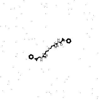 O=C(Nc1nnc(CCSCCc2nnc(NCC3C[C@@H]3c3ccccc3)s2)s1)C1C[C@@H]1c1ccccc1